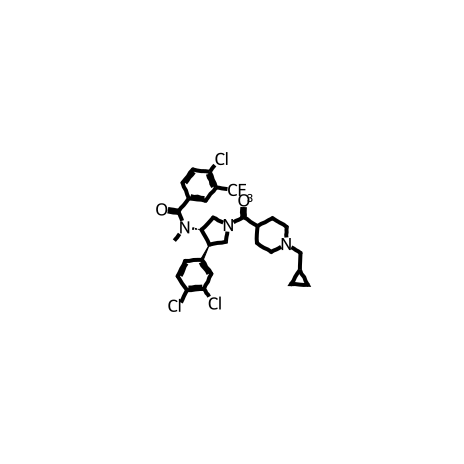 CN(C(=O)c1ccc(Cl)c(C(F)(F)F)c1)[C@@H]1CN(C(=O)C2CCN(CC3CC3)CC2)C[C@H]1c1ccc(Cl)c(Cl)c1